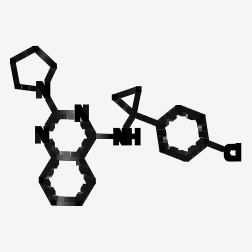 Clc1ccc(C2(Nc3nc(N4CCCC4)nc4ccccc34)CC2)cc1